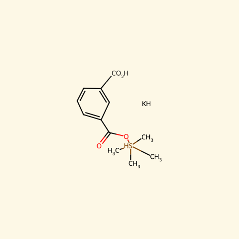 C[SH](C)(C)(C)OC(=O)c1cccc(C(=O)O)c1.[KH]